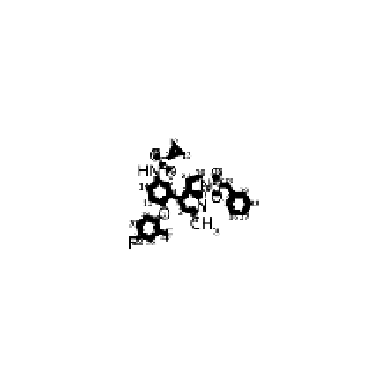 Cc1cc(-c2cc(NS(=O)(=O)C3CC3)ccc2Oc2ccc(F)cc2F)c2ccn(S(=O)(=O)Cc3ccccc3)c2n1